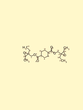 CCC1(COC(=O)C2CCC(C(=O)OCC3(CC)OC3C)CC2)OC1C